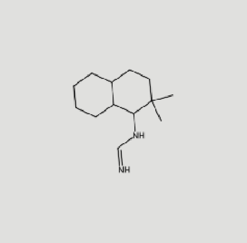 CC1(C)CCC2CCCCC2C1NC=N